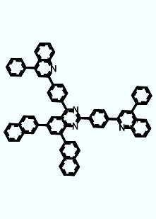 c1ccc(-c2cc(-c3ccc(-c4nc(-c5ccc(-c6cc(-c7ccccc7)c7ccccc7n6)cc5)c5cc(-c6ccc7ccccc7c6)cc(-c6ccc7ccccc7c6)c5n4)cc3)nc3ccccc23)cc1